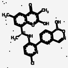 Cc1cc([C@@H](C)Nc2ccc(Cl)nc2-c2ccc3c(c2)C=NOB3O)c2oc(O)c(C)c(=O)c2c1